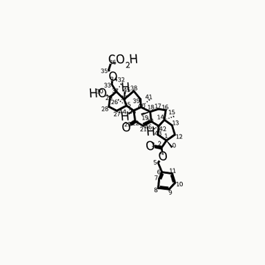 C[C@]1(C(=O)OCc2ccccc2)CC[C@]2(C)CC[C@]3(C)C(=CC(=O)[C@@H]4[C@@]5(C)CC[C@H](O)[C@@](C)(COCC(=O)O)[C@@H]5CC[C@]43C)[C@@H]2C1